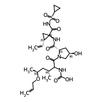 C=CCO[C@@H](C)C[C@@H](C)C(NC(=O)O)C(=O)N1C[C@H](O)C[C@H]1C(=O)N[C@]1(C(=O)NS(=O)(=O)C2CC2)C[C@H]1C=C